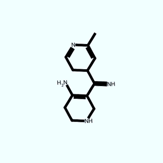 CC1=CC(C(=N)C2=C(N)CCNC2)CC=N1